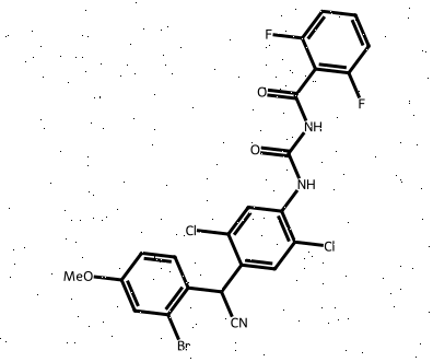 COc1ccc(C(C#N)c2cc(Cl)c(NC(=O)NC(=O)c3c(F)cccc3F)cc2Cl)c(Br)c1